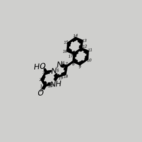 O=c1cc(O)n2nc(-c3cccc4ccccc34)cc2[nH]1